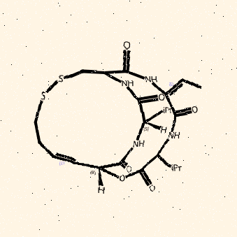 C/C=C1/NC(=O)C2CSSCC/C=C\[C@@H](OC(=O)C(C(C)C)NC1=O)C(=O)N[C@@H](C(C)C)C(=O)N2